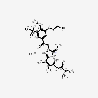 C/N=c1\n(CC(=O)c2cc(OCCO)c(OC)c(C(C)(C)C)c2)nc2c(C)c(C)c(OC(=O)N(C)C)nn12.Cl